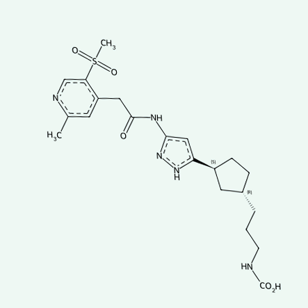 Cc1cc(CC(=O)Nc2cc([C@H]3CC[C@H](CCCNC(=O)O)C3)[nH]n2)c(S(C)(=O)=O)cn1